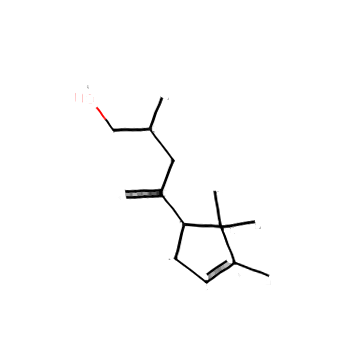 C=C(CC(C)CO)C1CC=C(C)C1(C)C